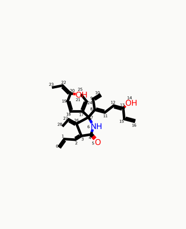 C=C/C=C1/C(=O)NC(/C(C=C)=C/C=C(/O)C=C)(C(/C=C\C(O)=C/C)=C/C)/C1=C/C